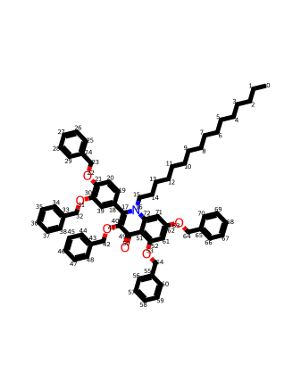 CCCCCCCCCCCCCCCCn1c(-c2ccc(OCc3ccccc3)c(OCc3ccccc3)c2)c(OCc2ccccc2)c(=O)c2c(OCc3ccccc3)cc(OCc3ccccc3)cc21